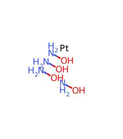 NO.NO.NO.NO.[Pt]